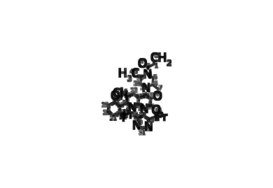 C=CC(=O)N1CC2COc3c(c4cc(Cl)c(-c5c(O)cccc5F)nc4n(-c4c(C(C)C)ncnc4C(C)C)c3=O)N2CC1C